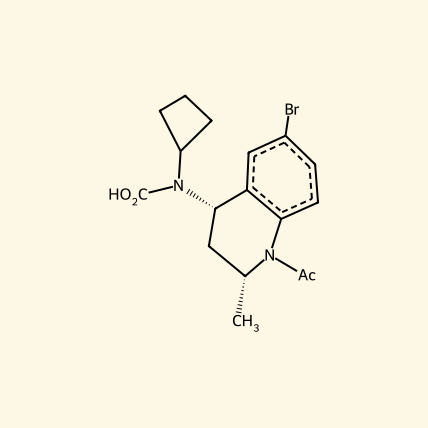 CC(=O)N1c2ccc(Br)cc2[C@@H](N(C(=O)O)C2CCC2)C[C@H]1C